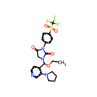 CCOC(c1ccncc1N1CCCC1)N1CC(=O)N(c2ccc(S(=O)(=O)C(F)(F)F)cc2)C1=O